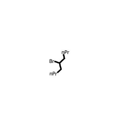 C[CH]CCC(Br)CCCC